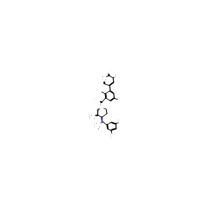 CN/C(=C1/CCN(C(=O)c2cc(F)cc(C3=CC(Cl)C(=O)N=C3)c2Cl)[C@@H](C)C1=N)c1cc(F)cc(F)c1